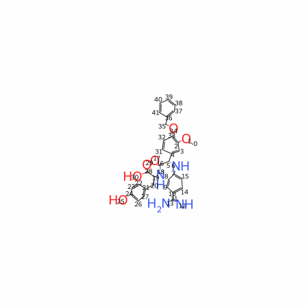 COc1cc([C@H](Nc2ccc(C(=N)N)cc2)C(=O)N[C@@H](Cc2ccc(O)cc2)C(=O)O)ccc1OCc1ccccc1